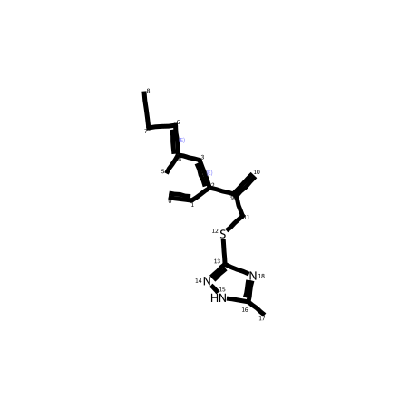 C=C/C(=C\C(C)=C\CC)C(=C)CSc1n[nH]c(C)n1